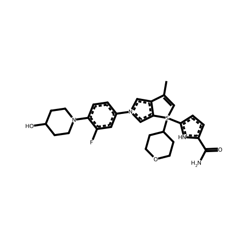 CC1=CS(c2ccc(C(N)=O)[nH]2)(C2CCOCC2)c2cn(-c3ccc(N4CCC(O)CC4)c(F)c3)cc21